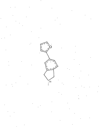 C[C@H]1Cc2ccc(-c3ccco3)cc2C1